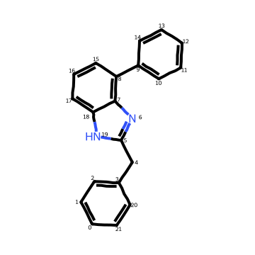 c1ccc(Cc2nc3c(-c4ccccc4)cccc3[nH]2)cc1